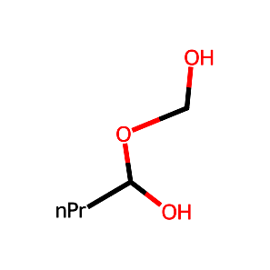 CCCC(O)OCO